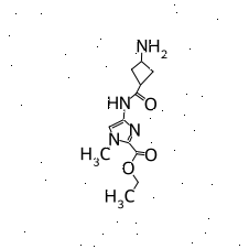 CCOC(=O)c1nc(NC(=O)C2CC(N)C2)cn1C